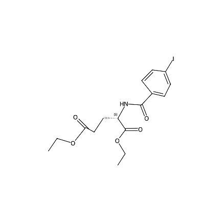 CCOC(=O)CC[C@H](NC(=O)c1ccc(I)cc1)C(=O)OCC